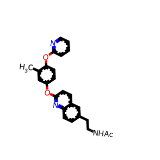 CC(=O)NCCc1ccc2nc(Oc3ccc(Oc4ccccn4)c(C)c3)ccc2c1